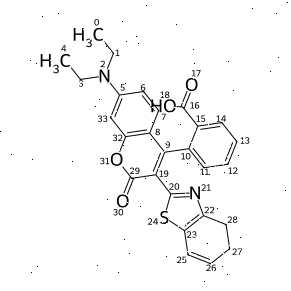 CCN(CC)c1ccc2c(-c3ccccc3C(=O)O)c(-c3nc4c(s3)C=CCC4)c(=O)oc2c1